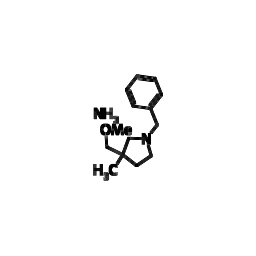 COCC1(C)CCN(Cc2ccccc2)C1.N